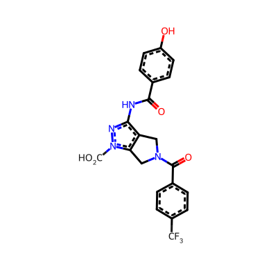 O=C(Nc1nn(C(=O)O)c2c1CN(C(=O)c1ccc(C(F)(F)F)cc1)C2)c1ccc(O)cc1